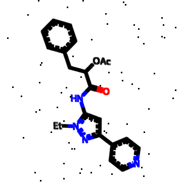 CCn1nc(-c2ccncc2)cc1NC(=O)C(Cc1ccccc1)OC(C)=O